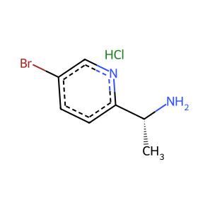 C[C@@H](N)c1ccc(Br)cn1.Cl